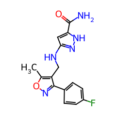 Cc1onc(-c2ccc(F)cc2)c1CNc1cc(C(N)=O)[nH]n1